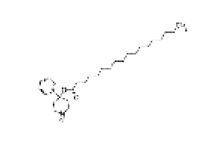 CCCCCCCCCCCCCCCCCC(=O)OC1(c2ccccc2)CCNCC1